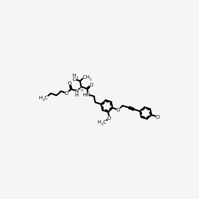 CCCCOC(=O)N[C@H](C(=O)NCCc1ccc(OCC#Cc2ccc(Cl)cc2)c(OC)c1)C(C)C